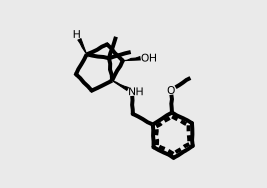 COc1ccccc1CN[C@]12CC[C@H](C[C@H]1O)C2(C)C